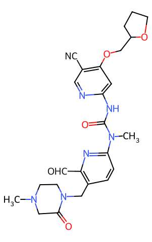 CN1CCN(Cc2ccc(N(C)C(=O)Nc3cc(OCC4CCCO4)c(C#N)cn3)nc2C=O)C(=O)C1